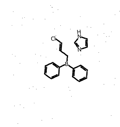 ClC=CCB(c1ccccc1)c1ccccc1.c1c[nH]cn1